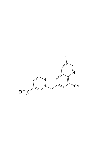 CCOC(=O)c1ccnc(Cc2cc(C#N)c3ncc(C)cc3c2)c1